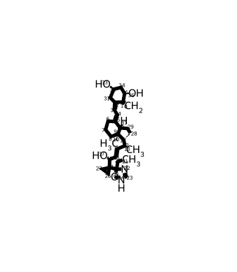 C=C1/C(=C\C=C2/CCC[C@]3(C)[C@@H]([C@H](C)/C=C/[C@H](O)C4(C5(CC)N=CNO5)CC4)CC[C@@H]23)C[C@@H](O)C[C@@H]1O